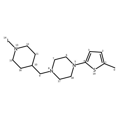 Cc1ccc(N2CCN(CC3CCN(I)CC3)CC2)s1